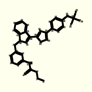 CCCC(=O)Nc1cccc(Cn2nc(-c3nc(-c4ccc(OC(F)(F)F)cc4)no3)c3ccccc32)c1